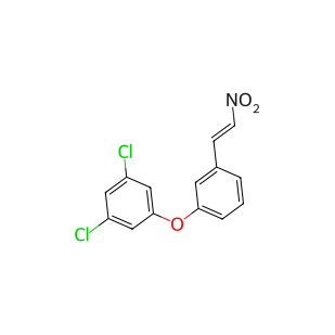 O=[N+]([O-])C=Cc1cccc(Oc2cc(Cl)cc(Cl)c2)c1